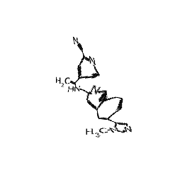 C=C(Nc1cc2cc(-c3cncn3C)ccc2cn1)c1ccnc(C#N)c1